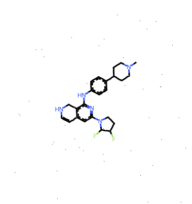 CN1CCC(c2ccc(Nc3nc(N4CCC(F)C4F)cc4c3CNC=C4)cc2)CC1